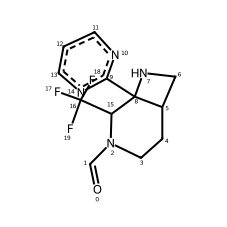 O=CN1CCC2CNC2(c2ncccn2)C1C(F)(F)F